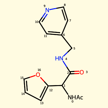 CC(=O)NC(C(=O)NCc1ccncc1)c1ccco1